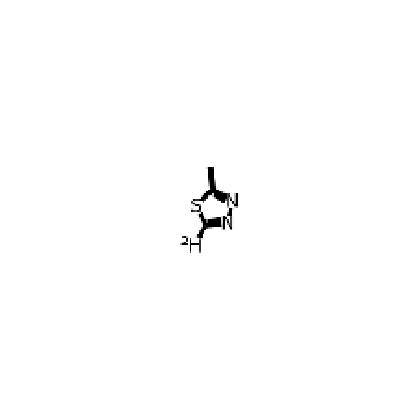 [2H]c1nnc(C)s1